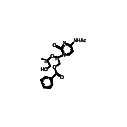 CC(=O)Nc1ccn([C@@H](COC(=O)c2ccccc2)O[C@H](C)CO)c(=O)n1